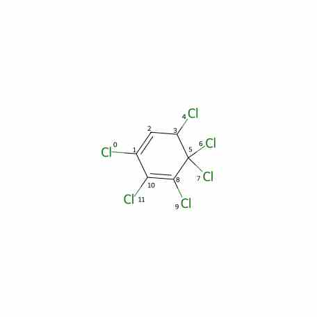 ClC1=CC(Cl)C(Cl)(Cl)C(Cl)=C1Cl